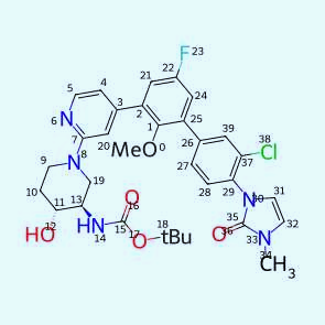 COc1c(-c2ccnc(N3CC[C@@H](O)[C@H](NC(=O)OC(C)(C)C)C3)c2)cc(F)cc1-c1ccc(-n2ccn(C)c2=O)c(Cl)c1